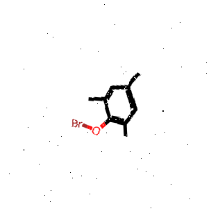 Cc1cc(C)c(OBr)c(C)c1